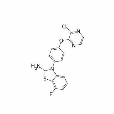 NC1Sc2c(F)cccc2N1c1ccc(Oc2nccnc2Cl)cc1